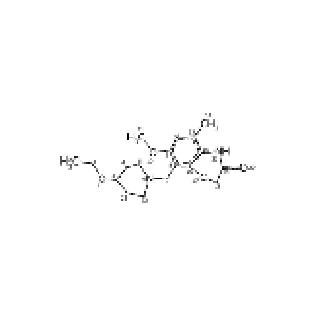 CCOC1CCN(Cc2c(OC)cc(C)c3c2CCC(=O)N3)CC1